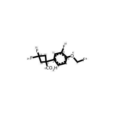 O=C(O)C1(c2ccc(OCF)c(F)c2)CC(F)(F)C1